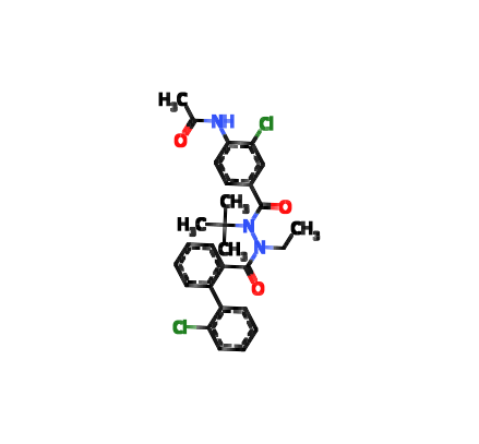 CCN(C(=O)c1ccccc1-c1ccccc1Cl)N(C(=O)c1ccc(NC(C)=O)c(Cl)c1)C(C)(C)C